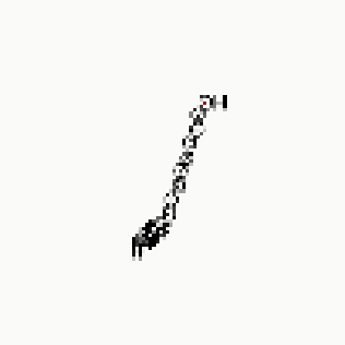 OCCOCCOCCOCCOCCOCCOCCOCCOCCC(F)(F)C(F)(F)C(F)(F)C(F)(F)C(F)(F)C(F)(F)F